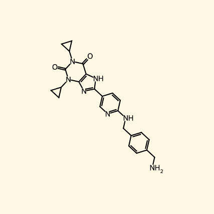 NCc1ccc(CNc2ccc(-c3nc4c([nH]3)c(=O)n(C3CC3)c(=O)n4C3CC3)cn2)cc1